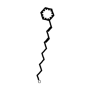 ClCCCCCCC=CC=Cc1ccccc1